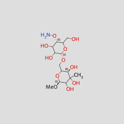 CO[C@H]1OC(CO[C@H]2OC(CO)[C@@H](ON)C(O)C2O)[C@@H](O)C(C)(O)C1O